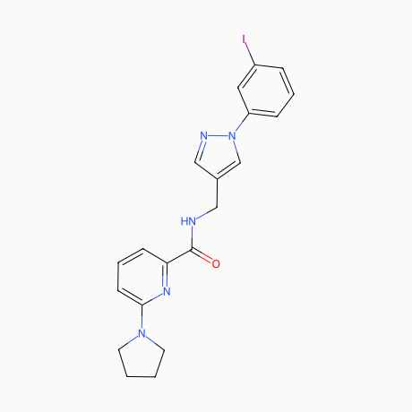 O=C(NCc1cnn(-c2cccc(I)c2)c1)c1cccc(N2CCCC2)n1